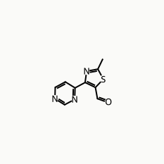 Cc1nc(-c2ccncn2)c(C=O)s1